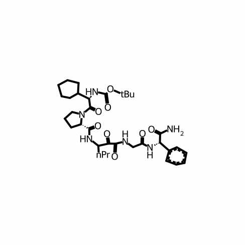 CCCC(NC(=O)[C@@H]1CCCN1C(=O)[C@@H](NC(=O)OC(C)(C)C)C1CCCCC1)C(=O)C(=O)NCC(=O)N[C@H](C(N)=O)c1ccccc1